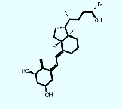 C=C1/C(=C\C=C2/CCC[C@]3(C)[C@@H]([C@H](C)CC[C@@H](O)C(C)C)CC[C@@H]23)C[C@@H](O)C[C@H]1O